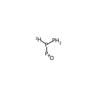 [2H]P(P)P=O